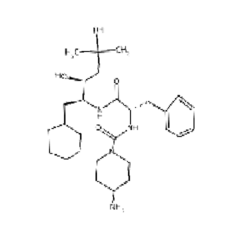 CC(C)(O)C[C@H](O)[C@H](CC1CCCCC1)NC(=O)[C@H](Cc1ccccc1)NC(=O)N1CCC(N)CC1